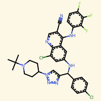 CC(C)(C)N1CCC(n2cc([C@@H](Nc3cc(Cl)c4ncc(C#N)c(Nc5ccc(F)c(F)c5F)c4c3)c3ccc(Cl)cc3)nn2)CC1